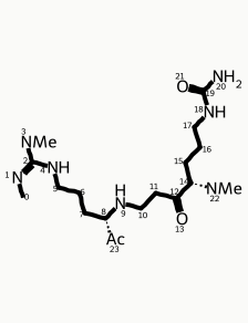 C/N=C(/NC)NCCC[C@H](NCCC(=O)[C@H](CCCNC(N)=O)NC)C(C)=O